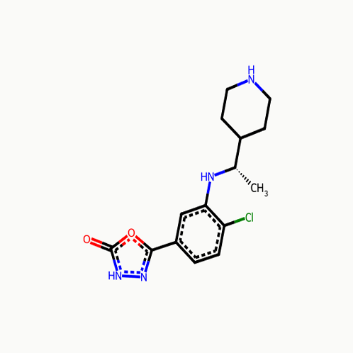 C[C@H](Nc1cc(-c2n[nH]c(=O)o2)ccc1Cl)C1CCNCC1